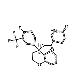 O=C(N[C@]1(c2ccc(F)c(C(F)(F)F)c2)CCOc2cccnc21)c1ccc(=O)[nH]c1